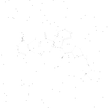 CSc1cc(C)[nH]c(=O)c1CNC(=O)c1c(C)n([C@H](C)C2CCC(NC3CC(F)(F)C3)C2)c2ccccc12